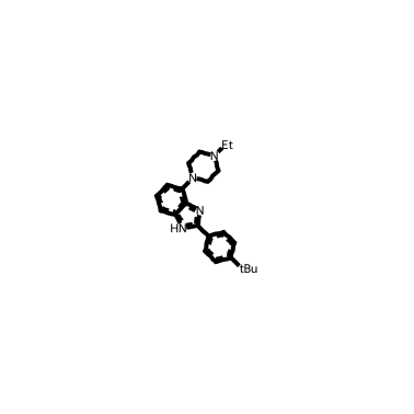 CCN1CCN(c2cccc3[nH]c(-c4ccc(C(C)(C)C)cc4)nc23)CC1